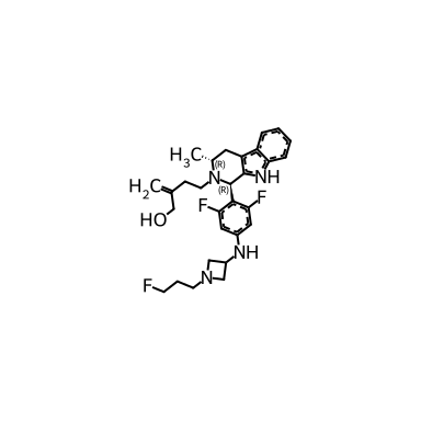 C=C(CO)CCN1[C@H](c2c(F)cc(NC3CN(CCCF)C3)cc2F)c2[nH]c3ccccc3c2C[C@H]1C